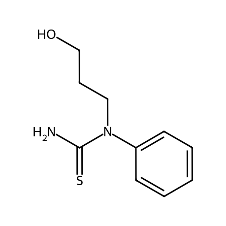 NC(=S)N(CCCO)c1ccccc1